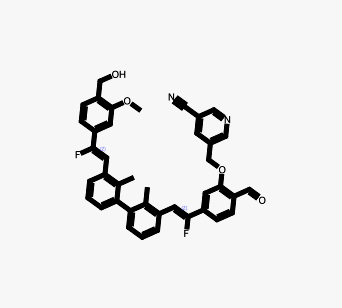 COc1cc(/C(F)=C/c2cccc(-c3cccc(/C=C(\F)c4ccc(C=O)c(OCc5cncc(C#N)c5)c4)c3C)c2C)ccc1CO